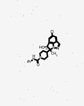 CC(C)NC(=O)N1CCC(C2(C)[C@@H](O)c3cc(Cl)cc4cnn2c34)CC1